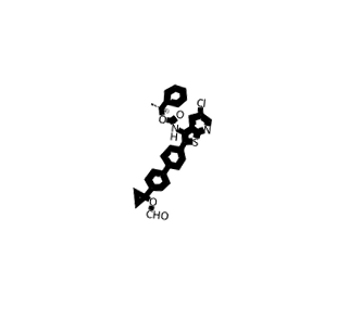 C[C@@H](OC(=O)Nc1c(-c2ccc(-c3ccc(C4(OC=O)CC4)cc3)cc2)sc2ncc(Cl)cc12)c1ccccc1